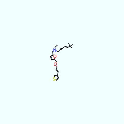 CCN(CC#CC=CC(C)(C)C)Cc1ccc(COCC=Cc2ccsc2)o1